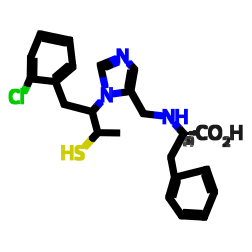 CC(S)C(Cc1ccccc1Cl)n1cncc1CN[C@@H](Cc1ccccc1)C(=O)O